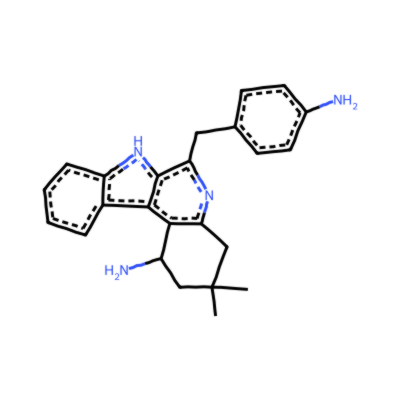 CC1(C)Cc2nc(Cc3ccc(N)cc3)c3[nH]c4ccccc4c3c2C(N)C1